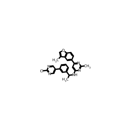 Cc1nc(NC(C)c2cccc(-c3cnc(Cl)nc3)c2)cc(-c2ccc3occ(C)c3c2)n1